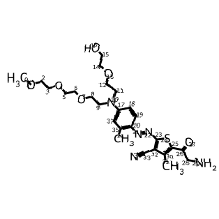 COCCOCCOCCN(CCOCCO)c1ccc(/N=N/c2sc(C(=O)CN)c(C)c2C#N)c(C)c1